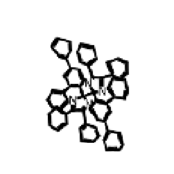 c1ccc(C2=NC(c3ccc(-c4ccccc4)cc3-c3ccccc3)(C3(c4ccc(-c5ccccc5)cc4-c4ccccc4)N=C(c4ccccc4)C(c4ccccc4)=N3)N=C2c2ccccc2)cc1